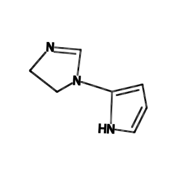 C1=NCCN1c1ccc[nH]1